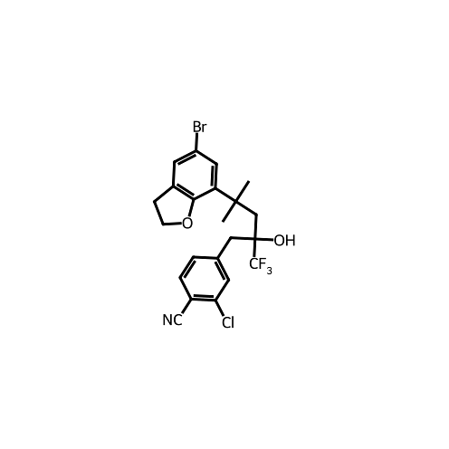 CC(C)(CC(O)(Cc1ccc(C#N)c(Cl)c1)C(F)(F)F)c1cc(Br)cc2c1OCC2